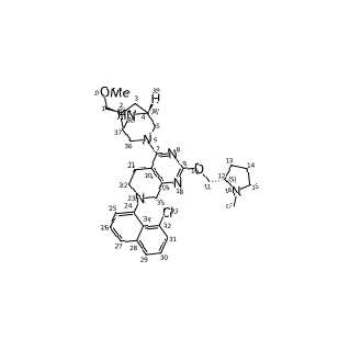 COC[C@H]1C[C@@H]2CN(c3nc(OC[C@@H]4CCCN4C)nc4c3CCN(c3cccc5cccc(Cl)c35)C4)CC1N2